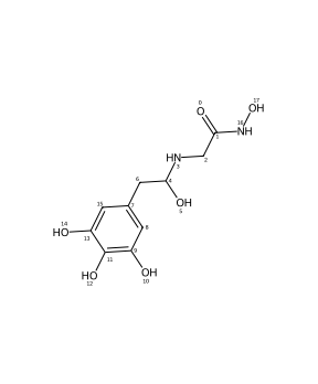 O=C(CNC(O)Cc1cc(O)c(O)c(O)c1)NO